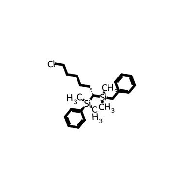 C[Si](C)(Cc1ccccc1)[C@@H](CCCCCCl)[Si](C)(C)c1ccccc1